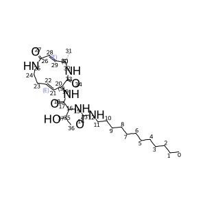 CCCCCCCCCCCCNC(=O)NC(C(=O)N[C@H]1/C=C/CCNC(=O)/C=C/[C@H](C)NC1=O)C(C)O